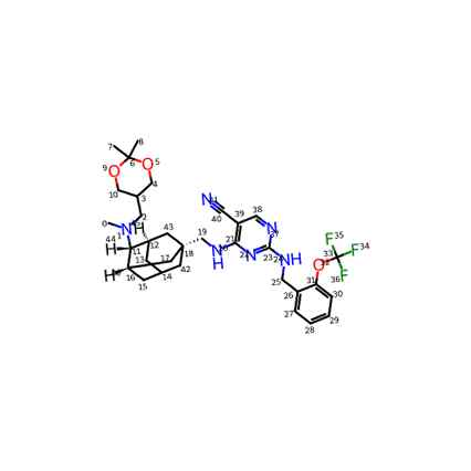 CN(CC1COC(C)(C)OC1)[C@@H]1[C@@H]2CC3C[C@H]1C[C@](CNc1nc(NCc4ccccc4OC(F)(F)F)ncc1C#N)(C3)C2